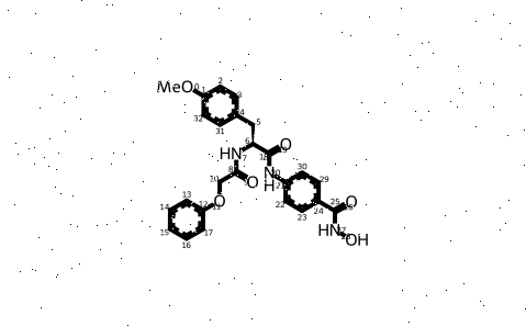 COc1ccc(C[C@H](NC(=O)COc2ccccc2)C(=O)Nc2ccc(C(=O)NO)cc2)cc1